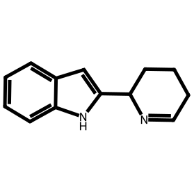 C1=NC(c2cc3ccccc3[nH]2)CCC1